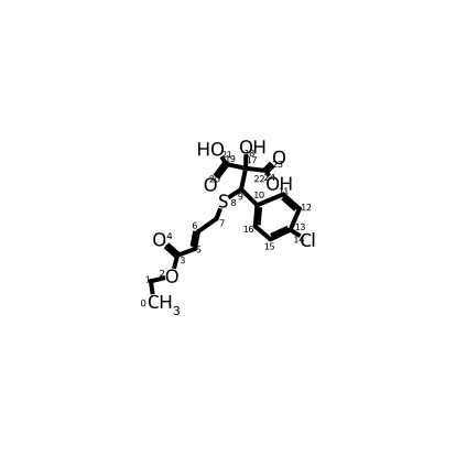 CCOC(=O)/C=C/CSC(c1ccc(Cl)cc1)C(O)(C(=O)O)C(=O)O